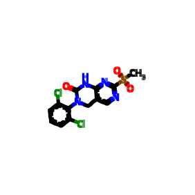 CS(=O)(=O)c1ncc2c(n1)NC(=O)N(c1c(Cl)cccc1Cl)C2